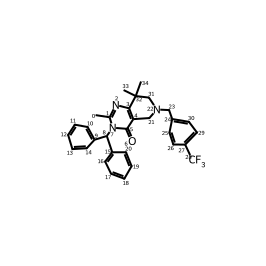 Cc1nc2c(c(=O)n1C(c1ccccc1)c1ccccc1)CN(Cc1ccc(C(F)(F)F)cc1)CC2(C)C